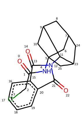 O=C(CCl)NC12CC3CC(C1)C(N1C(=O)c4ccccc4C1=O)C(C3)C2